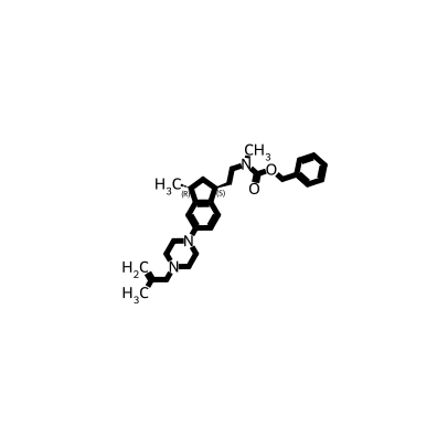 C=C(C)CN1CCN(c2ccc3c(c2)[C@H](C)C[C@H]3CCN(C)C(=O)OCc2ccccc2)CC1